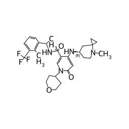 Cc1c(C(C)NC(=O)c2cn(C3CCOCC3)c(=O)cc2N[C@@H]2CCN(C)C3(CC3)C2)cccc1C(F)(F)F